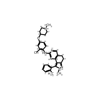 Cc1ccccc1-c1c2c(nn1C)CCc1cnc(Nc3ccc(OC4CCN(C)CC4)cc3Cl)nc1-2